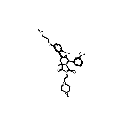 COCCOc1ccc2[nH]c3c(c2c1)CC1(C)C(=O)N(CCN2CCN(C)CC2)C(=O)N1C3c1cccc(O)c1